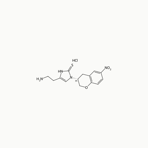 Cl.NCCc1cn([C@H]2COc3ccc([N+](=O)[O-])cc3C2)c(=S)[nH]1